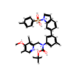 COc1c(C)cnc(CN(C(=O)OC(C)(C)C)c2cc(C)cc(-c3ccc4ccn(S(=O)(=O)c5ccc(C)cc5)c4c3)c2)c1C